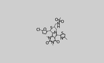 Cc1csc(-c2c3c(=O)n(C)c(=O)n(C)c3c3n2CC(CNS(C)(=O)=O)SC3c2ccc(Cl)o2)n1